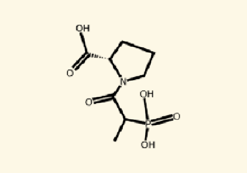 CC(C(=O)N1CCC[C@H]1C(=O)O)P(=O)(O)O